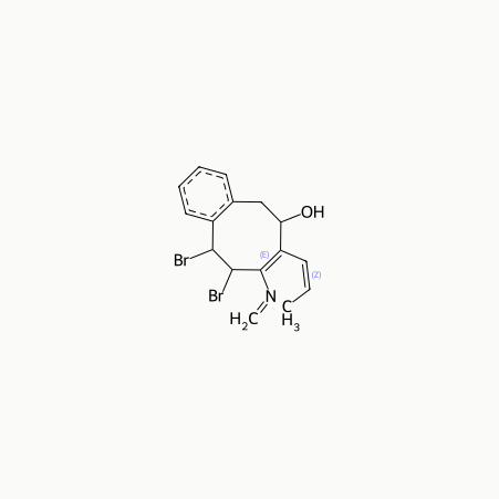 C=N/C1=C(\C=C/C)C(O)Cc2ccccc2C(Br)C1Br